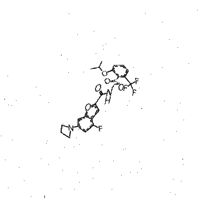 CC(C)Oc1cccc(C(F)(F)F)c1S(=O)(=O)NC(=O)c1cc2c(F)cc(N3CCC3)cc2o1